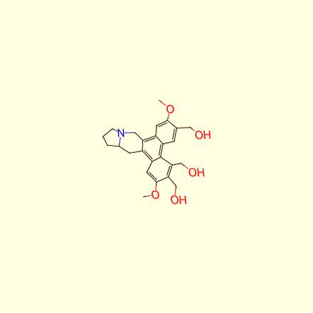 COc1cc2c3c(c4cc(OC)c(CO)c(CO)c4c2cc1CO)CC1CCCN1C3